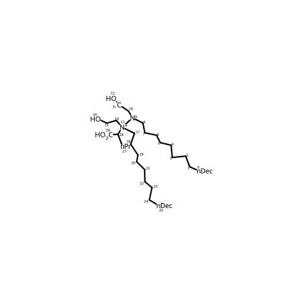 CCCCCCCCCCCCCCCCCCN(CCO)[N+](CCO)(CCCCCCCCCCCCCCCCCC)C(CCC)C(=O)O